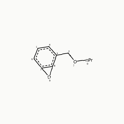 CCCOCc1cccc2c1O2